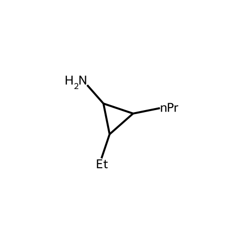 CCCC1C(N)C1CC